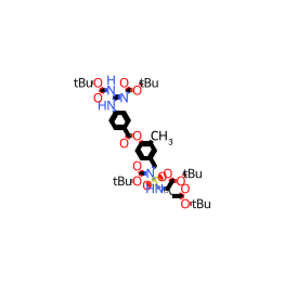 Cc1cc(CN(C(=O)OC(C)(C)C)S(=O)(=O)N[C@@H](CC(=O)OC(C)(C)C)C(=O)OC(C)(C)C)ccc1OC(=O)c1ccc(NC(=NC(=O)OC(C)(C)C)NC(=O)OC(C)(C)C)cc1